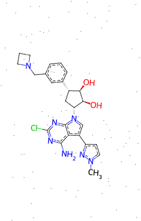 Cn1ccc(-c2cn([C@@H]3C[C@H](c4cccc(CN5CCC5)c4)[C@@H](O)[C@H]3O)c3nc(Cl)nc(N)c23)n1